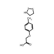 C1CSSN1.Cc1ccc(OCC(=O)O)cc1